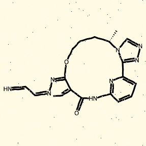 C/C=C1/C(=O)Nc2cccc(n2)-c2nncn2[C@@H](C)CCCO/C1=N/N=C\C=N